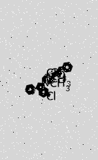 CC1(C)CN([C@@H]2C[C@@H](c3ccccc3)c3ccc(Cl)cc32)CC[N@@+]1(C)COC(=O)CC1CCCCC1